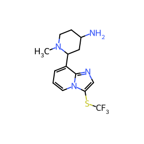 CN1CCC(N)CC1c1cccn2c(SC(F)(F)F)cnc12